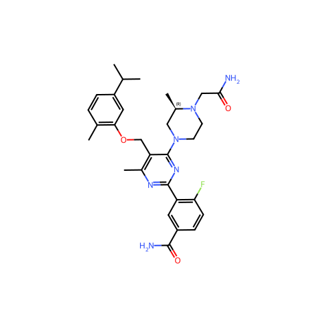 Cc1ccc(C(C)C)cc1OCc1c(C)nc(-c2cc(C(N)=O)ccc2F)nc1N1CCN(CC(N)=O)[C@H](C)C1